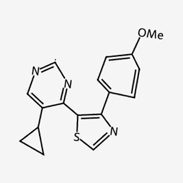 COc1ccc(-c2ncsc2-c2n[c]ncc2C2CC2)cc1